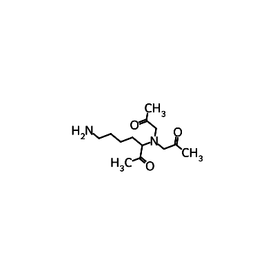 CC(=O)CN(CC(C)=O)C(CCCCN)C(C)=O